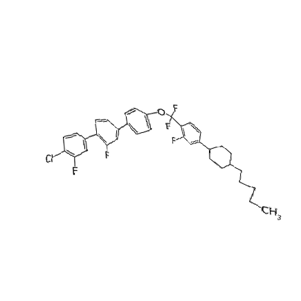 CCCCCC1CCC(c2ccc(C(F)(F)Oc3ccc(-c4ccc(-c5ccc(Cl)c(F)c5)c(F)c4)cc3)c(F)c2)CC1